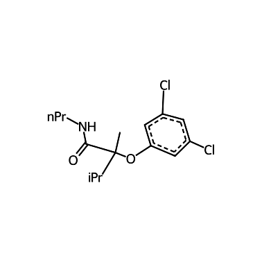 CCCNC(=O)C(C)(Oc1cc(Cl)cc(Cl)c1)C(C)C